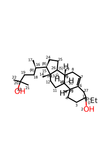 CC[C@]1(O)CC[C@H]2C(=CC[C@@H]3[C@@H]2CC[C@]2(C)[C@@H]([C@H](C)CCC(C)(C)O)CC[C@@H]32)C1